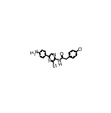 CCc1nc(-c2ccc(N)cc2)cnc1NC(=O)Cc1ccc(Cl)cc1